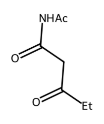 CCC(=O)CC(=O)NC(C)=O